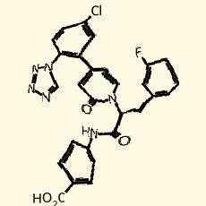 O=C(O)c1ccc(NC(=O)[C@H](Cc2cccc(F)c2)n2ccc(-c3cc(Cl)ccc3-n3cnnn3)cc2=O)cc1